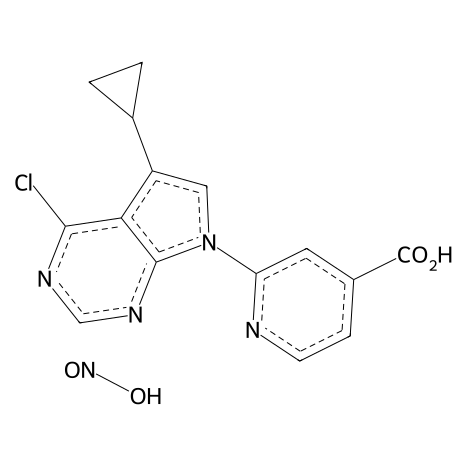 O=C(O)c1ccnc(-n2cc(C3CC3)c3c(Cl)ncnc32)c1.O=NO